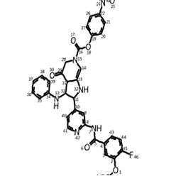 COc1cc(C(=O)Nc2cc(C3NC4=CN(C(=O)Oc5ccc([N+](=O)[O-])cc5)CC(=O)C4C3Nc3ccccc3)ccn2)ccc1F